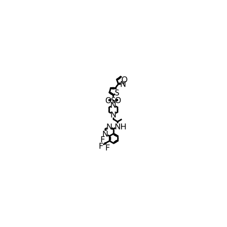 CC(CN1CCN(S(=O)(=O)c2ccc(-c3ccon3)s2)CC1)Nc1ncnc2c(C(F)(F)F)cccc12